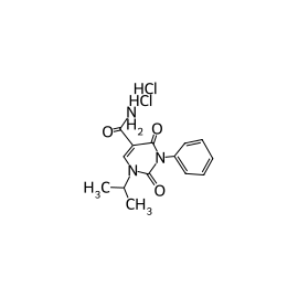 CC(C)n1cc(C(N)=O)c(=O)n(-c2ccccc2)c1=O.Cl.Cl